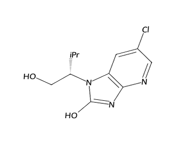 CC(C)[C@@H](CO)n1c(O)nc2ncc(Cl)cc21